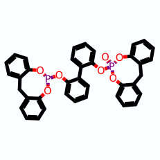 O=P1(Oc2ccccc2-c2ccccc2OP2Oc3ccccc3Cc3ccccc3O2)Oc2ccccc2Cc2ccccc2O1